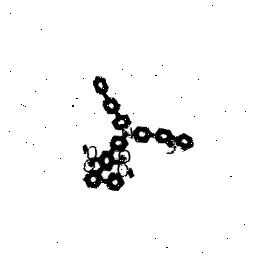 CCOC(=O)c1cc(-c2ccccc2-c2ccccc2)c(C(=O)OCC)cc1-c1ccc(N(c2ccc(-c3ccc(-c4ccccc4)cc3)cc2)c2ccc(-c3ccc4c(c3)sc3ccccc34)cc2)cc1